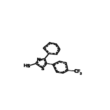 FC(F)(F)c1ccc(-c2sc(S)nc2-c2ccccc2)cc1